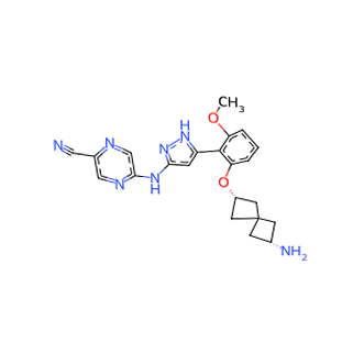 COc1cccc(O[C@H]2CC3(C[C@@H](N)C3)C2)c1-c1cc(Nc2cnc(C#N)cn2)n[nH]1